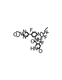 CCN(C)C1CN(c2cc(F)c(-c3cnc(N4CCOCC4)nc3)cc2NC(=O)c2c[nH]c(=O)cc2C(F)(F)F)CC1F